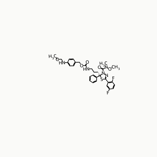 COCNc1ccc(COC(=O)NCCC[C@@]2(c3ccccc3)SC(c3cc(F)ccc3F)=NN2C(=O)N(C)OC)cc1